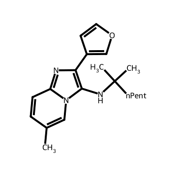 CCCCCC(C)(C)Nc1c(-c2ccoc2)nc2ccc(C)cn12